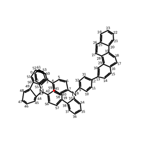 c1ccc(-c2ccc(N(c3ccc(-c4ccc5ccc6c7ccccc7ccc6c5c4)cc3)c3ccccc3-c3ccc(-n4c5ccccc5c5ccccc54)cc3)cc2)cc1